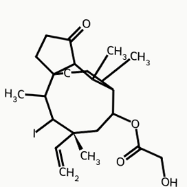 C=C[C@@]1(C)CC(OC(=O)CO)C2C(C)CCC3(CCC(=O)C3C2C)C(C)C1I